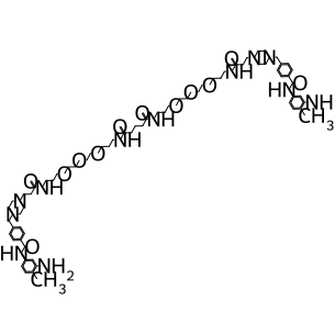 Cc1ccc(NC(=O)c2ccc(CN3CCN(CCC(=O)NCCCOCCOCCOCCCNC(=O)CCCC(=O)NCCCOCCOCCOCCCNC(=O)CCN4CCN(Cc5ccc(C(=O)Nc6ccc(C)c(N)c6)cc5)CC4)CC3)cc2)cc1N